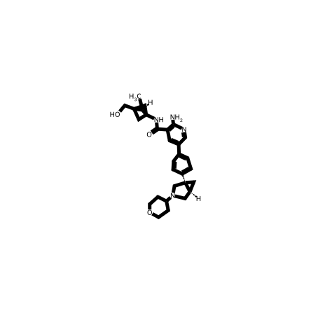 C[C@@H]1C2(CO)CC1(NC(=O)c1cc(-c3ccc([C@]45C[C@H]4CN(C4CCOCC4)C5)cc3)cnc1N)C2